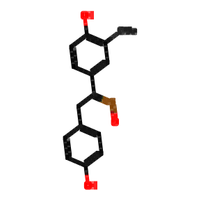 COc1cc(C(Cc2ccc(O)cc2)=S=O)ccc1O